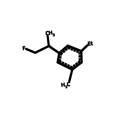 CCc1cc(C)cc([C](C)CF)c1